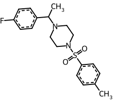 Cc1ccc(S(=O)(=O)N2CCN(C(C)c3ccc(F)cc3)CC2)cc1